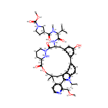 CCn1c(-c2cccnc2[C@H](C)OC)c2c3cc(ccc31)-c1cc(O)cc(c1)C[C@H](NC(=O)[C@H](C(C)C)N(C)C(=O)[C@H]1CCN(C(=O)OC)C1)C(=O)N1CCC[C@@](C)(N1)C(=O)OCC(C)(C)C2